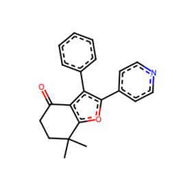 CC1(C)CCC(=O)c2c1oc(-c1ccncc1)c2-c1ccccc1